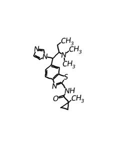 CCC(C(c1ccc2nc(NC(=O)C3(C)CC3)sc2c1)n1ccnc1)N(C)C